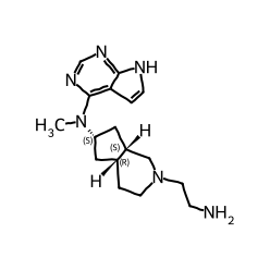 CN(c1ncnc2[nH]ccc12)[C@H]1C[C@H]2CCN(CCN)C[C@H]2C1